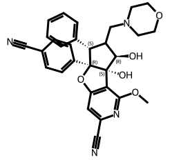 COc1nc(C#N)cc2c1[C@]1(O)[C@H](O)C(CN3CCOCC3)[C@@H](c3ccccc3)[C@]1(c1ccc(C#N)cc1)O2